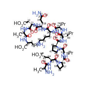 CC(C)C[C@H](NC(=O)[C@H](C)NC(=O)[C@H](CC(=O)O)NC(=O)[C@H](CCC(N)=O)NC(=O)[C@H](CCCCN)NC(=O)[C@@H](NC(=O)[C@H](CC(C)C)NC(=O)[C@@H]1CCCN1C(=O)[C@@H](NC(=O)[C@@H]1CCCN1C(=O)[C@H](CCC(=O)O)NC(=O)[C@H](C)N)C(C)C)C(C)C)C(=O)O